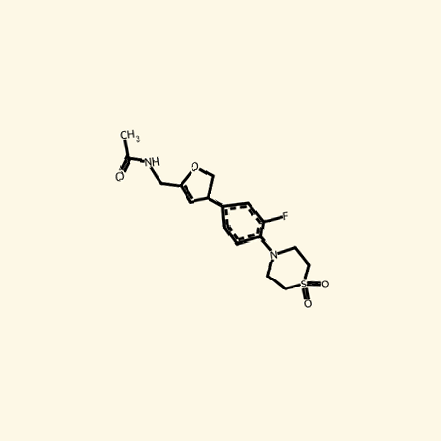 CC(=O)NCC1=CC(c2ccc(N3CCS(=O)(=O)CC3)c(F)c2)CO1